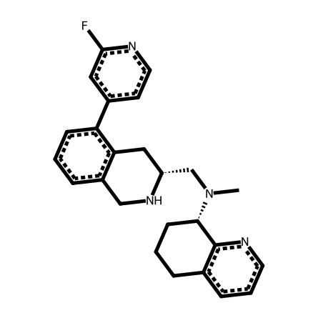 CN(C[C@H]1Cc2c(cccc2-c2ccnc(F)c2)CN1)[C@H]1CCCc2cccnc21